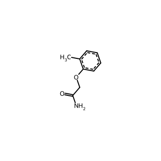 Cc1ccccc1OCC(N)=O